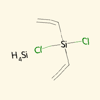 C=C[Si](Cl)(Cl)C=C.[SiH4]